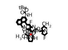 C#Cc1cccc2cc(NC(=O)OC(C)(C)C)cc(-c3nc4c5c(nc(OCC67CC(=C)CN6C[C@H](F)C7)nc5c3F)N3C[C@H]5CC[C@@H]([C@H]3[C@H](C)O4)N5C(=O)OC(C)(C)C)c12